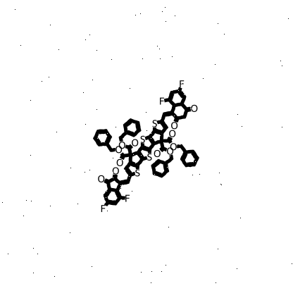 O=C1C(=O)c2cc(F)cc(F)c2/C1=C/c1cc2c(s1)-c1sc3c4c(sc3c1C2(C(=O)OCc1ccccc1)C(=O)OCc1ccccc1)-c1sc(/C=C2\C(=O)CC(=O)C3C=C(F)C=C(F)C23)cc1C4(C(=O)OCc1ccccc1)C(=O)OCc1ccccc1